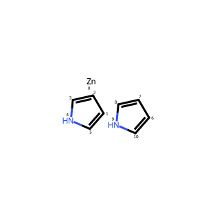 [Zn].c1cc[nH]c1.c1cc[nH]c1